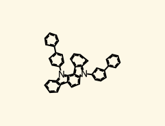 c1ccc(-c2ccc(-n3c4ccccc4c4ccc5c(c6ccccc6n5-c5cccc(-c6ccccc6)c5)c43)cc2)cc1